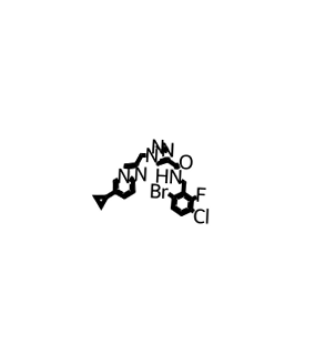 O=C(NCc1c(Br)ccc(Cl)c1F)c1cn(Cc2cn3cc(C4CC4)ccc3n2)nn1